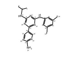 CC(C)Nc1nc(Nc2cc(F)cc(F)c2)nc(-c2cnc(N)nc2)n1